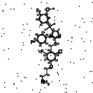 COc1cc(C(C)(C)c2cnc(SCc3c(F)cc(OCCCN)cc3Cl)n2-c2ccc(F)cc2)ccc1F